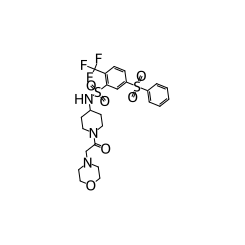 O=C(CN1CCOCC1)N1CCC(NS(=O)(=O)c2cc(S(=O)(=O)c3ccccc3)ccc2C(F)(F)F)CC1